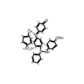 COc1ccc(NN(c2ccccc2)c2ccc(N=C3C=CC(=O)C=C3)cc2)cc1.Cc1ccc(S(=O)(=O)O)cc1